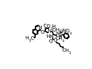 C=CCCCOC(=O)NC(C(=O)N1CC(Oc2nccc3ccc(C=C)cc23)CC1C(=O)O)C(C)NS(=O)(=O)c1ccccc1[N+](=O)[O-]